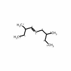 CCC(C)/C=N/CC(C)CC